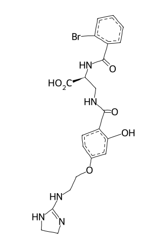 O=C(NC[C@H](NC(=O)c1ccccc1Br)C(=O)O)c1ccc(OCCNC2=NCCN2)cc1O